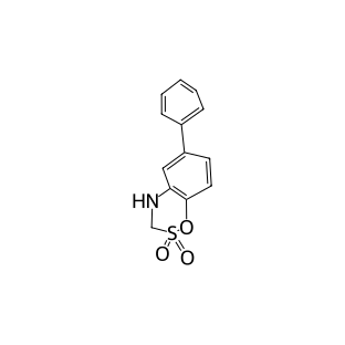 O=S1(=O)CNc2cc(-c3ccccc3)ccc2O1